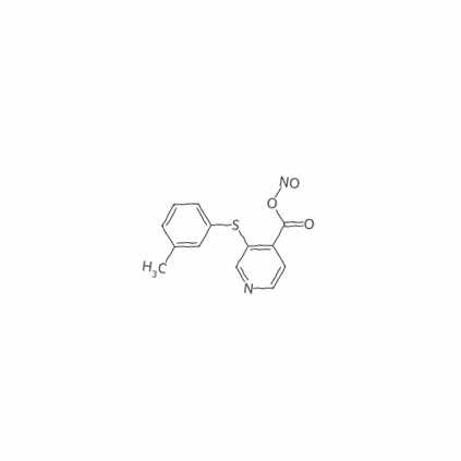 Cc1cccc(Sc2cnccc2C(=O)ON=O)c1